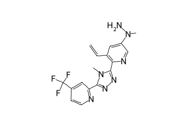 C=Cc1cc(N(C)N)cnc1-c1nnc(-c2cc(C(F)(F)F)ccn2)n1C